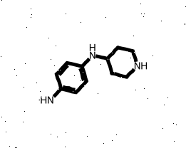 [NH]c1ccc(NC2CCNCC2)cc1